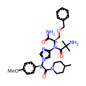 COc1ccc([C@H](C(=O)N2CCC(C)CC2)n2cnc(N(C(=O)C(C)(C)N)[C@H](COCc3ccccc3)C(N)=O)c2)cc1